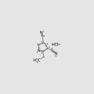 CCc1ncc(C#N)cc1C#N.Cl